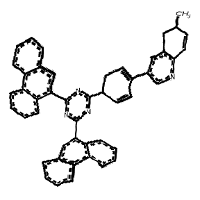 CC1C=Cc2ncc(C3=CCC(c4nc(-c5cc6ccccc6c6ccccc56)nc(-c5cc6ccccc6c6ccccc56)n4)C=C3)cc2C1